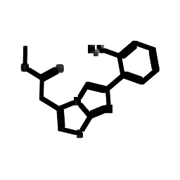 COC(=O)Cc1csc2nc(-c3ccccc3N)cn12